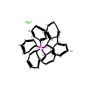 Cl.c1ccc(P(c2ccccc2)(c2ccccc2)(c2ccccc2)C2c3ccccc3-c3ccccc32)cc1